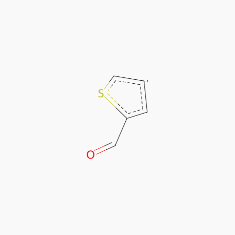 O=Cc1c[c]cs1